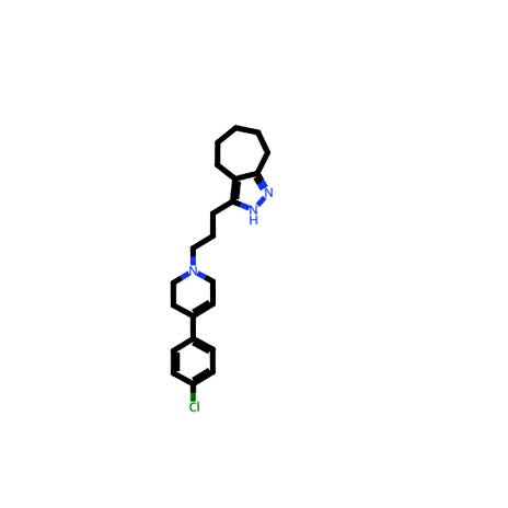 Clc1ccc(C2=CCN(CCCc3[nH]nc4c3CCCCC4)CC2)cc1